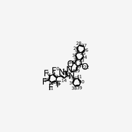 Cn1c(-c2c(F)c(F)c(F)c(F)c2F)cc2c1nc(C=C1C(=O)c3cc4ccccc4cc3C1=O)n2-c1ccccc1